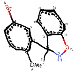 [2H]C1(c2cc(Br)ccc2OC)NOc2ccccc21